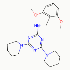 COc1cccc(OC)c1CNc1nc(N2CCCCC2)nc(N2CCCCC2)n1